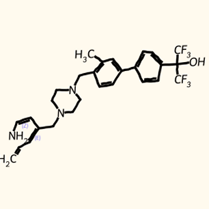 C=C/C=C(\C=C/N)CN1CCN(Cc2ccc(-c3ccc(C(O)(C(F)(F)F)C(F)(F)F)cc3)cc2C)CC1